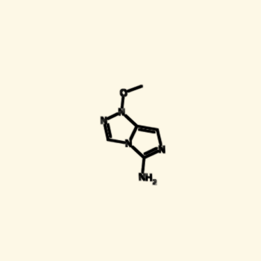 COn1ncn2c(N)ncc12